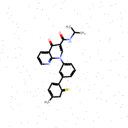 CC1=CC=C(c2cccc(-n3cc(C(=O)NC(C)C)c(=O)c4cccnc43)c2)C(=S)C1